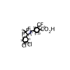 CC(F)(F)C(/C=C(\F)c1ccc(C(=O)O)c(C(F)(F)F)c1)C1C=CC(Cl)=C(Cl)C1